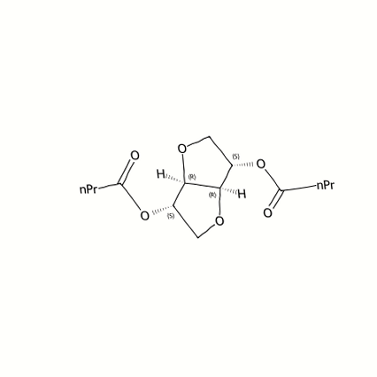 CCCC(=O)O[C@H]1CO[C@H]2[C@@H]1OC[C@@H]2OC(=O)CCC